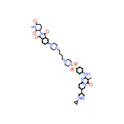 Cc1c(Nc2ccc(S(=O)(=O)N3CCN(CCCCN4CCN(c5ccc6c(c5)C(=O)N(C5CCC(=O)N(C)C5=O)C6=O)CC4)CC3)cc2F)nc2ccc(-c3cnn(C4CC4)c3)cn2c1=O